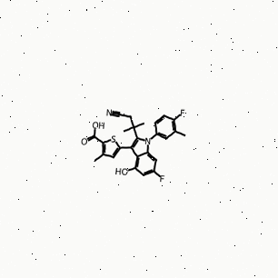 Cc1cc(-n2c(C(C)(C)CC#N)c(-c3cc(C)c(C(=O)O)s3)c3c(O)cc(F)cc32)ccc1F